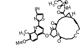 COc1ccc2c(O[C@@H]3C[C@H]4C(=O)CC[C@]5(C(=O)NS(=O)(=O)C6(C)CC6)C[C@H]5/C=C\CCCCCC(=O)N4C3)cc(-c3nc(C(C)C)cs3)nc2c1C